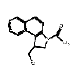 O=C(N1CC(CCl)c2c1ccc1ccccc21)C(F)(F)F